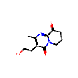 Cc1nc2n(c(=O)c1CCO)CCCC2=O